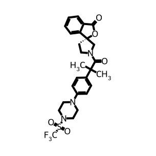 CC(C)(C(=O)N1CC[C@@]2(C1)OC(=O)c1ccccc12)c1ccc(N2CCN(S(=O)(=O)C(F)(F)F)CC2)cc1